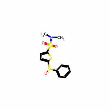 CN(C)S(=O)(=O)c1ccc([S+]([O-])c2ccccc2)s1